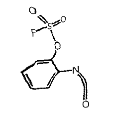 O=C=Nc1ccccc1OS(=O)(=O)F